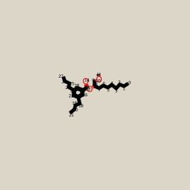 CCCCCCCCC(COC)OC(=O)c1cc(CCCC)cc(CCCC)c1